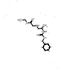 CCOC(=O)CNCC(C)NC(=O)OCc1ccccc1